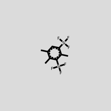 Cc1cc([Si](F)(F)F)c(C)c([Si](F)(F)F)c1C